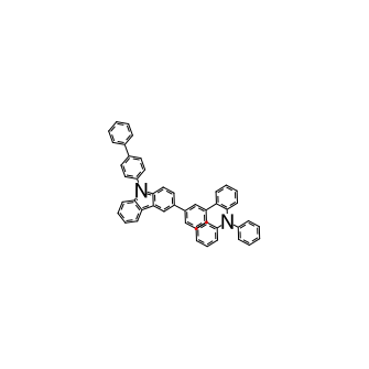 c1ccc(-c2ccc(-n3c4ccccc4c4cc(-c5cccc(-c6ccccc6N(c6ccccc6)c6ccccc6)c5)ccc43)cc2)cc1